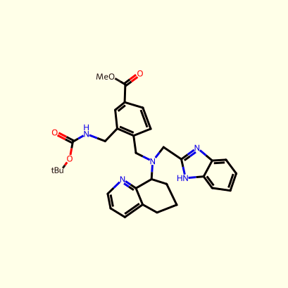 COC(=O)c1ccc(CN(Cc2nc3ccccc3[nH]2)C2CCCc3cccnc32)c(CNC(=O)OC(C)(C)C)c1